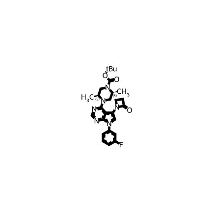 C[C@@H]1CN(c2ncnc3c2c(N2CCC2=O)cn3-c2cccc(F)c2)[C@@H](C)CN1C(=O)OC(C)(C)C